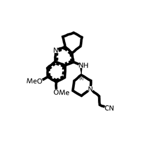 COc1cc2nc3c(c(N[C@@H]4CCCN(CCC#N)C4)c2cc1OC)CCCC3